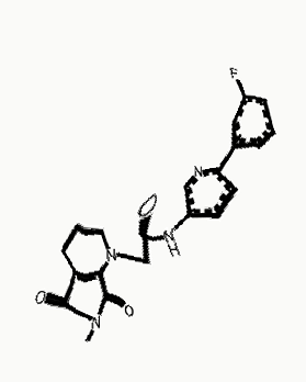 CN1C(=O)C2=C(C1=O)N(CC(=O)Nc1ccc(-c3cccc(F)c3)nc1)CCC2